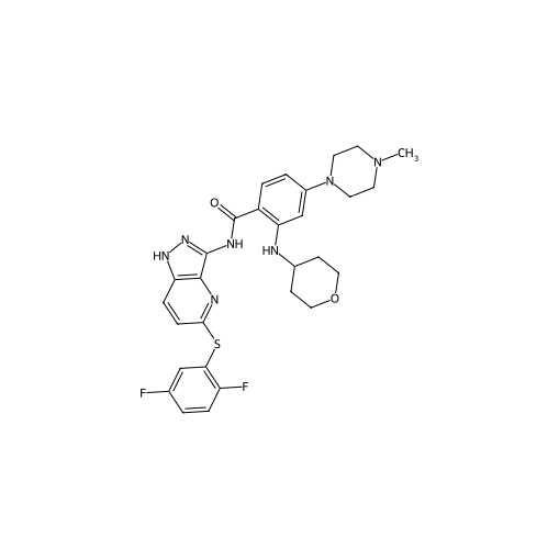 CN1CCN(c2ccc(C(=O)Nc3n[nH]c4ccc(Sc5cc(F)ccc5F)nc34)c(NC3CCOCC3)c2)CC1